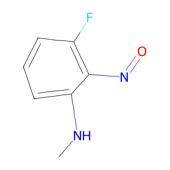 CNc1cccc(F)c1N=O